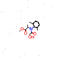 COC(=O)C(C)N(C(=O)CO)c1c(C)cccc1C